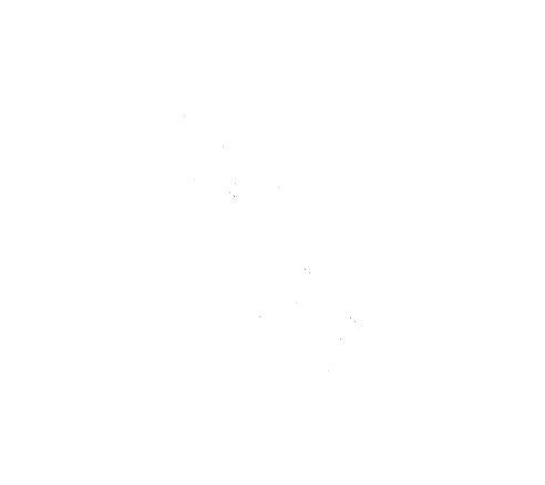 CC(C)(C)C(=O)ON1CCC(Nc2ccccc2[N+](=O)[O-])CC1